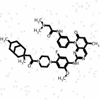 COc1cc(N2CCN(C(=O)CC3(C)CC4CC(C)CC(C4)C3)CC2)c(F)cc1Nc1ncc2c(C)cc(=O)n(-c3cccc(NC(=O)CN(C)C)c3)c2n1